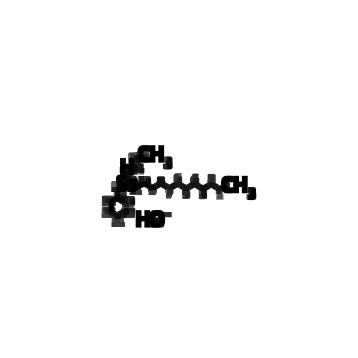 CCCCCCCCCCC[CH2][SbH+]([CH2]CCC)[CH2]c1ccccc1.[OH-]